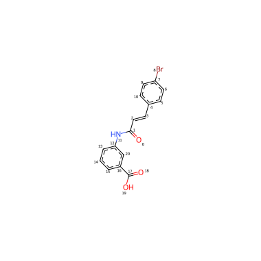 O=C(C=Cc1ccc(Br)cc1)Nc1cccc(C(=O)O)c1